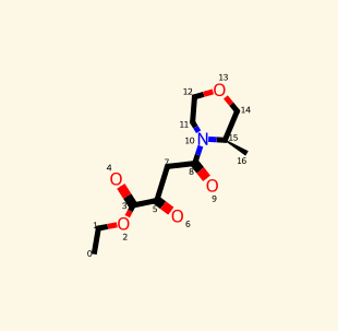 CCOC(=O)C(=O)CC(=O)N1CCOC[C@H]1C